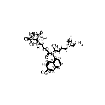 CCN(CC)CCCC(C)N(C(=O)OCCNC(P(=O)(O)O)P(=O)(O)O)c1ccnc2cc(Cl)ccc12